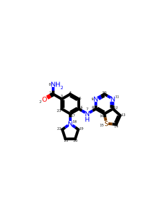 NC(=O)c1ccc(Nc2ncnc3ccsc23)c(N2CCCC2)c1